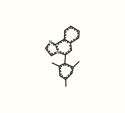 Cc1cc(C)c(-c2cc3ccccc3c3nccn23)c(C)c1